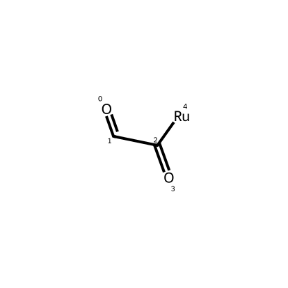 O=C[C](=O)[Ru]